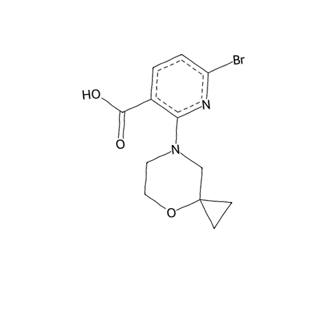 O=C(O)c1ccc(Br)nc1N1CCOC2(CC2)C1